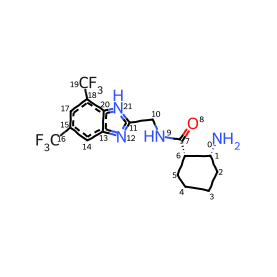 N[C@@H]1CCCC[C@@H]1C(=O)NCc1nc2cc(C(F)(F)F)cc(C(F)(F)F)c2[nH]1